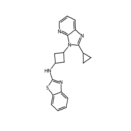 c1ccc2sc(NC3CC(n4c(C5CC5)nc5cccnc54)C3)nc2c1